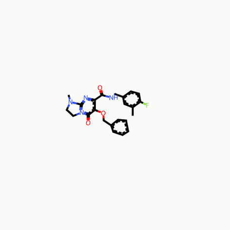 Cc1cc(CNC(=O)c2nc3n(c(=O)c2OCc2ccccc2)CCN3C)ccc1F